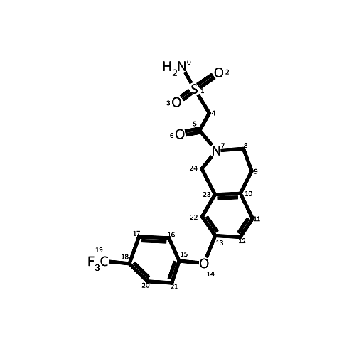 NS(=O)(=O)CC(=O)N1CCc2ccc(Oc3ccc(C(F)(F)F)cc3)cc2C1